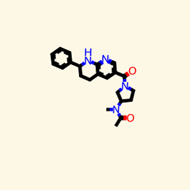 CC(=O)N(C)C1CCN(C(=O)c2cnc3c(c2)CCC(c2ccccc2)N3)C1